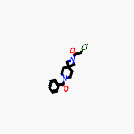 O=C(CCl)N1CC2(CCN(C(=O)c3ccccc3)CC2)C1